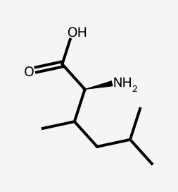 CC(C)CC(C)[C@H](N)C(=O)O